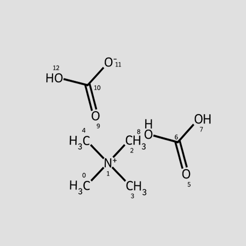 C[N+](C)(C)C.O=C(O)O.O=C([O-])O